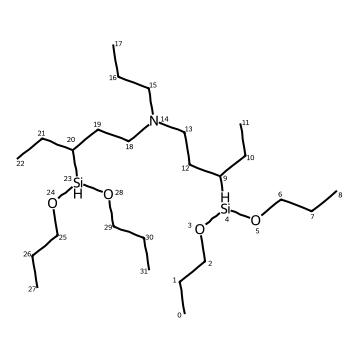 CCCO[SiH](OCCC)C(CC)CCN(CCC)CCC(CC)[SiH](OCCC)OCCC